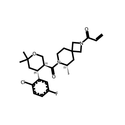 C=CC(=O)N1CC2(CCN(C(=O)[C@@H]3COC(C)(C)C[C@H]3c3cc(F)ccc3Cl)[C@@H](C)C2)C1